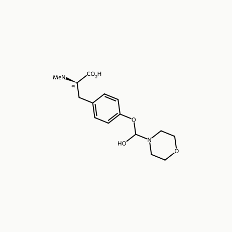 CN[C@H](Cc1ccc(OC(O)N2CCOCC2)cc1)C(=O)O